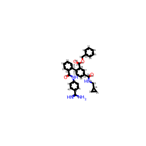 N=C(N)c1ccc(NC(=O)c2ccccc2-c2ccc(C(=O)NCC3CC3)cc2C(=O)OCc2ccccc2)cc1